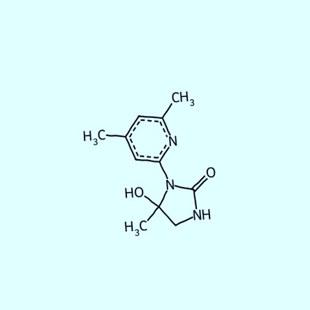 Cc1cc(C)nc(N2C(=O)NCC2(C)O)c1